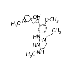 CCCN1CCC(NC)NC1Nc1ccc(OC)c(OCC2(O)CCN(C)C2)c1